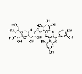 C[C@@H]1O[C@@H](OC[C@H]2O[C@@H](Oc3c(-c4ccc(O)c(O)c4)oc4cc(O)cc(O)c4c3=O)[C@H](O)[C@@H](O)[C@@H]2O)[C@H](O)[C@H](O)[C@H]1O[C@@H]1O[C@H](CO)[C@@H](O)[C@H](O)[C@H]1O